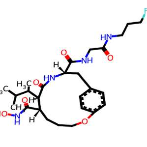 CC(C)C(C)[C@H]1C(=O)N[C@H](C(=O)NCC(=O)NCCCF)Cc2ccc(cc2)OCCC[C@@H]1C(=O)NO